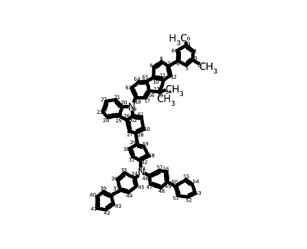 Cc1cc(C)cc(-c2ccc3c(c2)C(C)(C)c2cc(-n4c5ccccc5c5cc(-c6ccc(N(c7ccc(-c8ccccc8)cc7)c7ccc(-c8ccccc8)cc7)cc6)ccc54)ccc2-3)c1